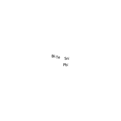 [Bi].[Pb].[Sn].[Te]